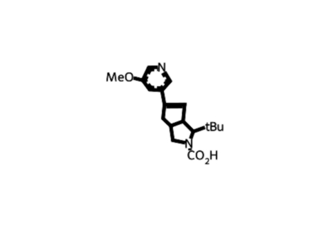 COc1cncc(C2=CC3C(C2)CN(C(=O)O)C3C(C)(C)C)c1